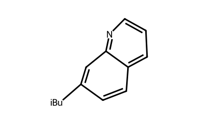 [CH2]CC(C)c1ccc2cccnc2c1